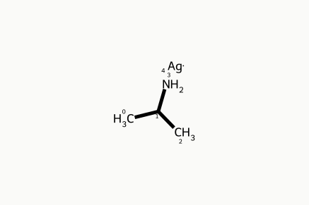 CC(C)N.[Ag]